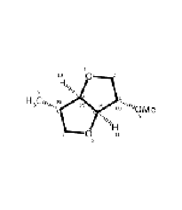 CO[C@H]1CO[C@H]2[C@@H]1OC[C@@H]2C